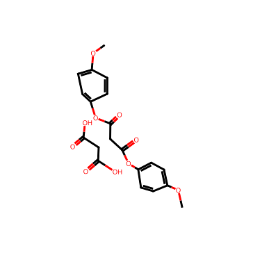 COc1ccc(OC(=O)CC(=O)Oc2ccc(OC)cc2)cc1.O=C(O)CC(=O)O